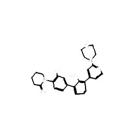 O=C1CCCCN1c1ccc(-c2cccc(-c3ccnc(N4CCNCC4)c3)c2O)cc1Cl